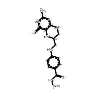 CCCC(C)NC(=O)c1ccc(NCC2CNc3nc(N)[nH]c(=O)c3N2)cc1